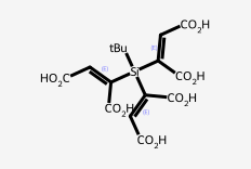 CC(C)(C)[Si](/C(=C/C(=O)O)C(=O)O)(/C(=C/C(=O)O)C(=O)O)/C(=C/C(=O)O)C(=O)O